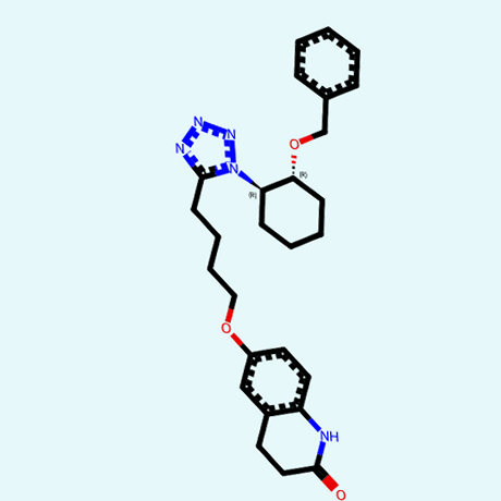 O=C1CCc2cc(OCCCCc3nnnn3[C@@H]3CCCC[C@H]3OCc3ccccc3)ccc2N1